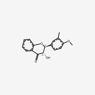 COc1ccc([C@@H]2Oc3ccccc3C(=O)[C@H]2O)cc1C